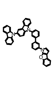 c1cc(-c2cccc(-n3c4ccccc4c4cc(-n5c6ccccc6c6ccccc65)ccc43)c2)cc(-n2ccc3c4ccccc4oc32)c1